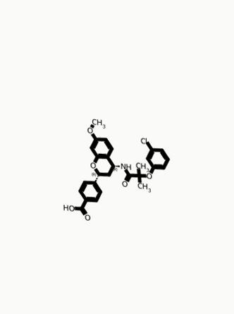 COc1ccc2c(c1)O[C@@H](c1ccc(C(=O)O)cc1)C[C@H]2NC(=O)C(C)(C)Oc1cccc(Cl)c1